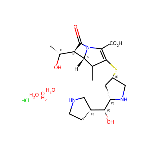 CC1C(S[C@@H]2CN[C@H]([C@H](O)[C@@H]3CCNC3)C2)=C(C(=O)O)N2C(=O)[C@H]([C@@H](C)O)[C@@H]12.Cl.O.O.O